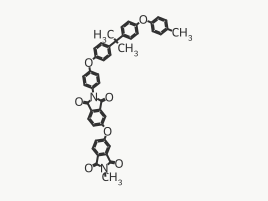 Cc1ccc(Oc2ccc(C(C)(C)c3ccc(Oc4ccc(N5C(=O)c6ccc(Oc7ccc8c(c7)C(=O)N(C)C8=O)cc6C5=O)cc4)cc3)cc2)cc1